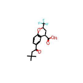 CC(C)(C)CC(=O)c1ccc2c(c1)C(C(=O)O)CC(C(F)(F)F)O2